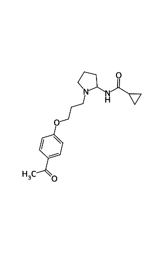 CC(=O)c1ccc(OCCCN2CCCC2NC(=O)C2CC2)cc1